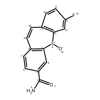 NC(=O)c1ccc2c(c1)[S+]([O-])c1cc(F)ccc1C=C2